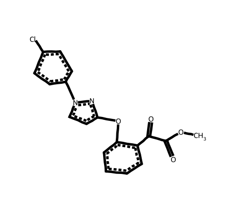 COC(=O)C(=O)c1ccccc1Oc1ccn(-c2ccc(Cl)cc2)n1